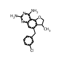 CC1COc2c1c(Cc1cccc(Cl)c1)cc1nc(N)nc(N)c21